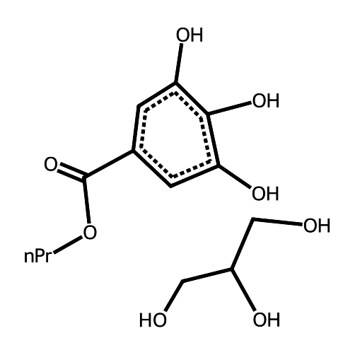 CCCOC(=O)c1cc(O)c(O)c(O)c1.OCC(O)CO